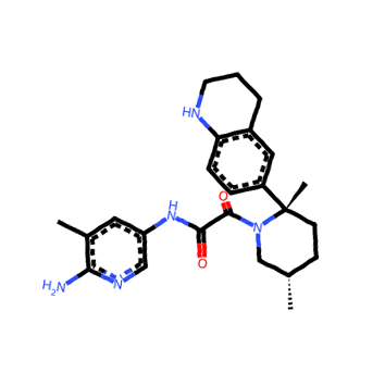 Cc1cc(NC(=O)C(=O)N2C[C@@H](C)CC[C@@]2(C)c2ccc3c(c2)CCCN3)cnc1N